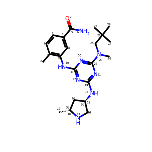 Cc1ccc(C(N)=O)cc1Nc1nc(N[C@H]2CN[C@H](C)C2)nc(N(C)CC(C)(C)C)n1